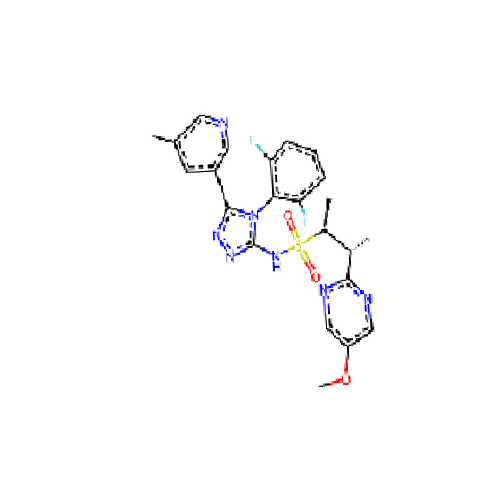 COc1cnc([C@@H](C)[C@H](C)S(=O)(=O)Nc2nnc(-c3cncc(C)c3)n2-c2c(F)cccc2F)nc1